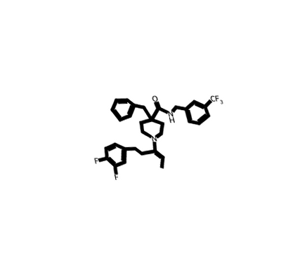 C/C=C(\CCc1ccc(F)c(F)c1)N1CCC(Cc2ccccc2)(C(=O)NCc2cccc(C(F)(F)F)c2)CC1